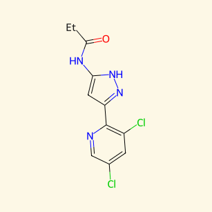 CCC(=O)Nc1cc(-c2ncc(Cl)cc2Cl)n[nH]1